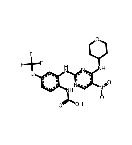 O=C(O)Nc1ccc(OC(F)(F)F)cc1Nc1ncc([N+](=O)[O-])c(NC2CCOCC2)n1